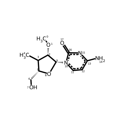 CO[C@H]1C(C)[C@@H](CO)O[C@H]1n1ccc(N)nc1=O